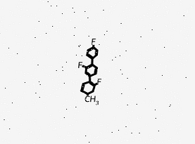 CC1C=CC(c2ccc(-c3ccc(F)cc3)c(F)c2)=C(F)C1